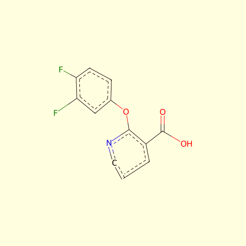 O=C(O)c1cccnc1Oc1ccc(F)c(F)c1